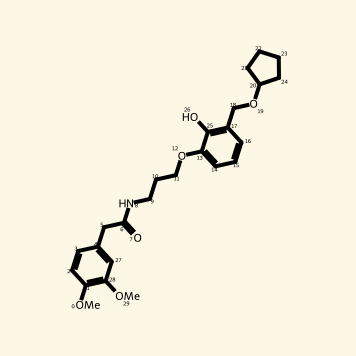 COc1ccc(CC(=O)NCCCOc2cccc(COC3CCCC3)c2O)cc1OC